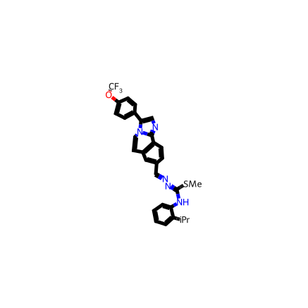 CS/C(=N\N=C\c1ccc2c(ccn3c(-c4ccc(OC(F)(F)F)cc4)cnc23)c1)Nc1ccccc1C(C)C